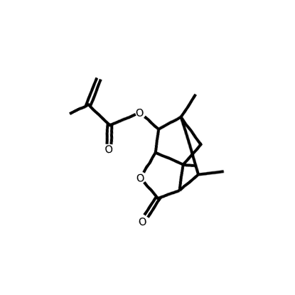 C=C(C)C(=O)OC1C2OC(=O)C3C(C)C1(C)CC23C